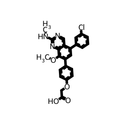 CNc1ncc2c(-c3cccc(Cl)c3)cc(-c3ccc(OCC(=O)O)cc3)c(OC)c2n1